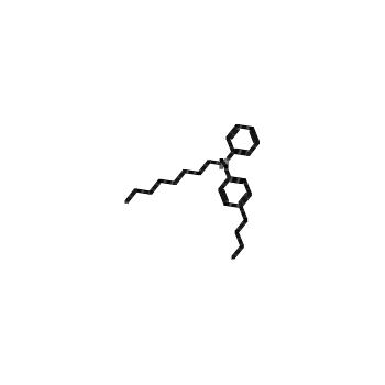 CCCCCCCCN(c1ccccc1)c1ccc(CCCC)cc1